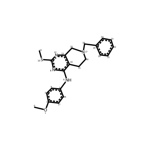 COc1ccc(Nc2nc(SC)nc3c2CCN(Cc2ccccc2)C3)cc1